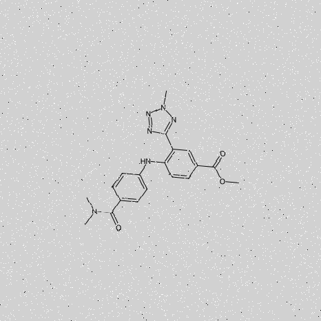 COC(=O)c1ccc(Nc2ccc(C(=O)N(C)C)cc2)c(-c2nnn(C)n2)c1